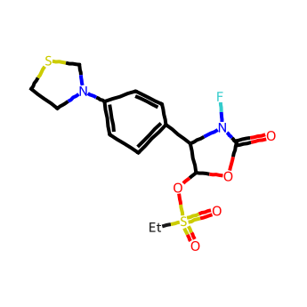 CCS(=O)(=O)OC1OC(=O)N(F)C1c1ccc(N2CCSC2)cc1